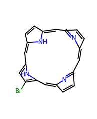 Brc1cc2cc3ccc(cc4nc(cc5nc(cc1[nH]2)C=C5)C=C4)[nH]3